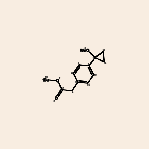 COC1(c2ccc(CC(=O)OC(C)(C)C)cc2)CC1